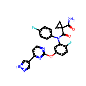 NC(=O)C1(C(=O)N(c2ccc(F)cc2)c2cc(Oc3nccc(-c4cn[nH]c4)n3)ccc2F)CC1